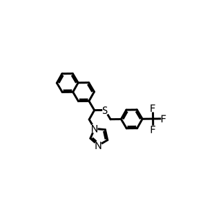 FC(F)(F)c1ccc(CSC(Cn2ccnc2)c2ccc3ccccc3c2)cc1